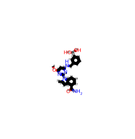 COc1cc(NCc2cccc(B(O)O)c2)nc(-n2c(C)cc3c(C(N)=O)cccc32)n1